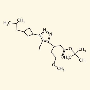 COCCC(CC(=O)OC(C)(C)C)c1nnn(C2CC(CC(C)C)C2)c1I